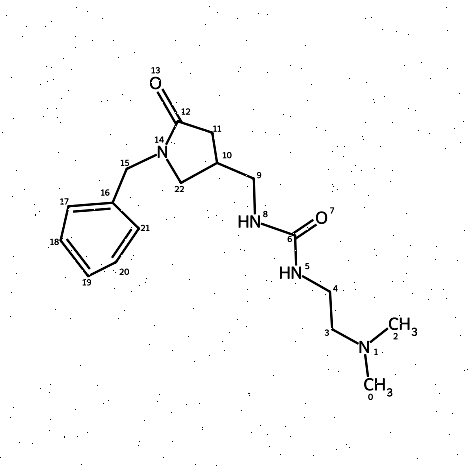 CN(C)CCNC(=O)NCC1CC(=O)N(Cc2ccccc2)C1